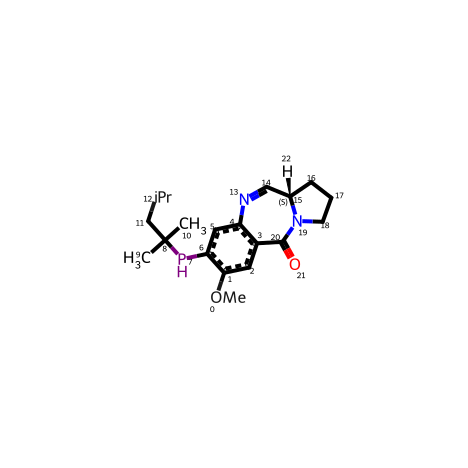 COc1cc2c(cc1PC(C)(C)CC(C)C)N=C[C@@H]1CCCN1C2=O